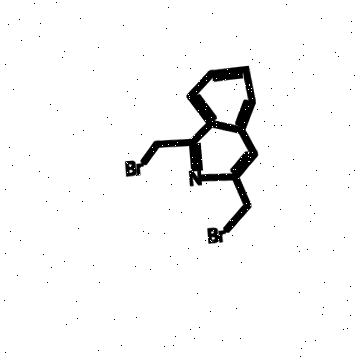 BrCc1cc2ccccc2c(CBr)n1